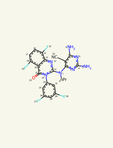 CCCN(c1nc(N)nc(N)c1C#N)c1nc2c(F)ccc(F)c2c(=O)n1-c1cc(F)cc(F)c1